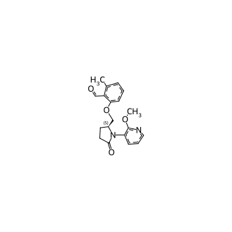 COc1ncccc1N1C(=O)CC[C@H]1COc1cccc(C)c1C=O